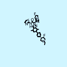 CCN1CC[C@H](c2ccc(-c3cc(C)c4cn(C(C(=O)Nc5nccs5)c5ncn6c5C[C@@H](F)C6)nc4c3C)cc2)[C@@H](F)C1